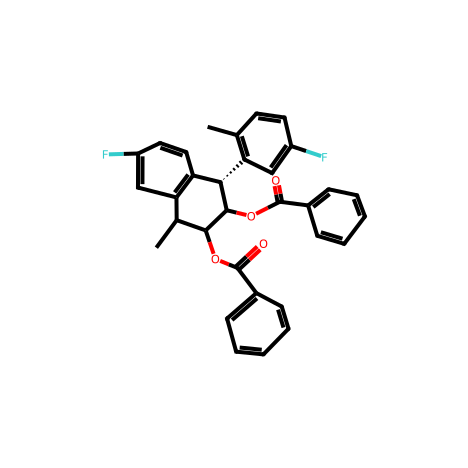 Cc1ccc(F)cc1[C@H]1c2ccc(F)cc2C(C)C(OC(=O)c2ccccc2)C1OC(=O)c1ccccc1